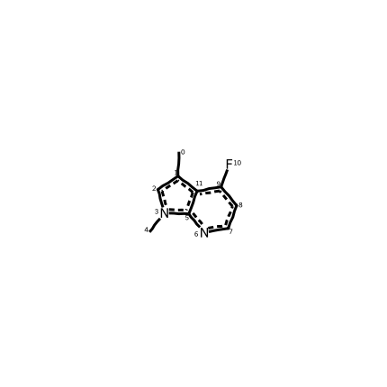 Cc1cn(C)c2nccc(F)c12